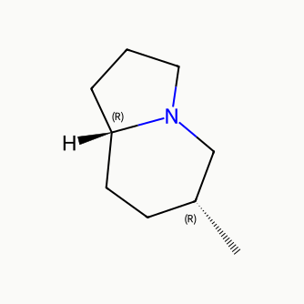 C[C@@H]1CC[C@@H]2CCCN2C1